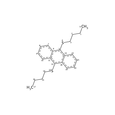 CCCCSc1c2ccccc2c(SCCCC)c2ccccc12